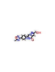 Cc1nc(-c2ccc(-c3cn4nc(CO)cc4c(=O)[nH]3)cc2)no1